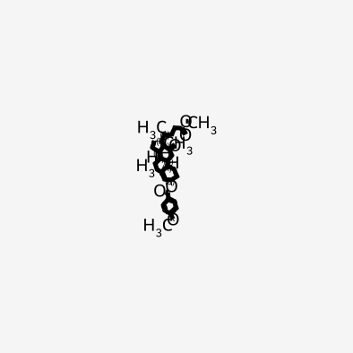 COC(=O)CC[C@@H](C)[C@H]1CC[C@H]2[C@@H]3CCC4=C[C@@H](OC(=O)c5ccc(OC)cc5)CC[C@]4(C)[C@H]3CC(=O)[C@]12C